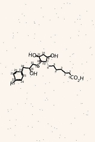 O=C(O)CCCCCC[C@H]1C(O)CC(O)[C@@H]1SCC(O)Cc1ccc(F)cc1